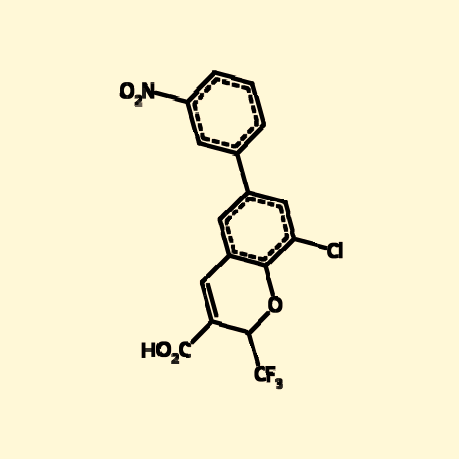 O=C(O)C1=Cc2cc(-c3cccc([N+](=O)[O-])c3)cc(Cl)c2OC1C(F)(F)F